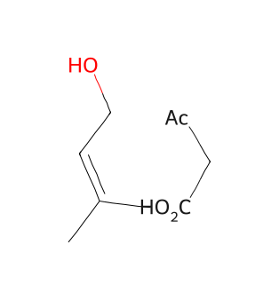 CC(=O)CC(=O)O.CC(C)=CCO